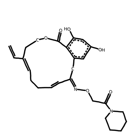 C=C/C1=C\CC/C=C/C(=NOCC(=O)N2CCCCC2)Cc2cc(O)cc(O)c2C(=O)OCC1